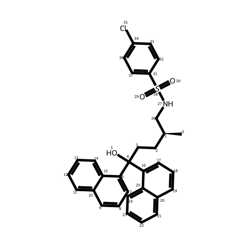 C[C@@H](CCC(O)(c1cccc2ccccc12)c1cccc2ccccc12)CNS(=O)(=O)c1ccc(Cl)cc1